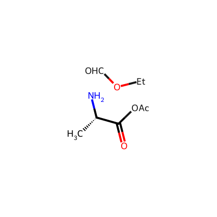 CC(=O)OC(=O)[C@H](C)N.CCOC=O